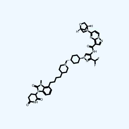 Cn1c(=O)n(C2CCC(=O)NC2=O)c2cccc(CCCCC3CCN(C[C@H]4CC[C@H](n5cc(NC(=O)c6cnn7ccc(N8C[C@H]9C[C@@H]8CO9)nc67)c(C(F)F)n5)CC4)CC3)c21